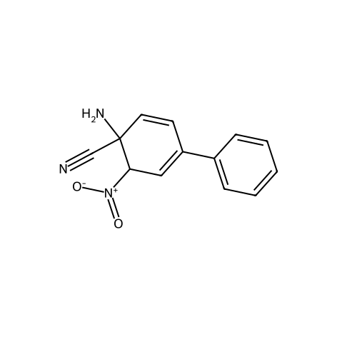 N#CC1(N)C=CC(c2ccccc2)=CC1[N+](=O)[O-]